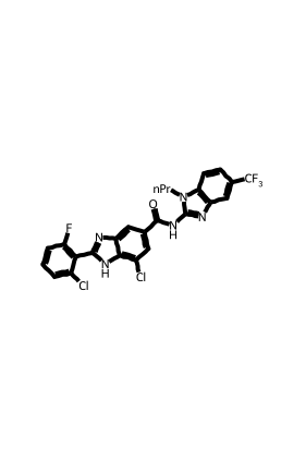 CCCn1c(NC(=O)c2cc(Cl)c3[nH]c(-c4c(F)cccc4Cl)nc3c2)nc2cc(C(F)(F)F)ccc21